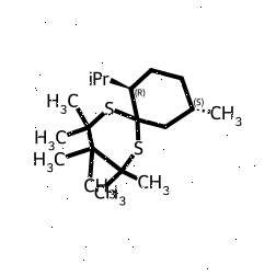 CC(C)[C@H]1CC[C@H](C)CC12SC(C)(C)C(C)(C)C(C)(C)S2